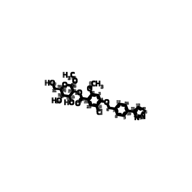 COc1cc(OCc2ccc(-c3csnn3)cc2)c(Cl)cc1C(=O)O[C@H]1[C@@H](OC)O[C@H](CO)[C@@H](O)[C@@H]1O